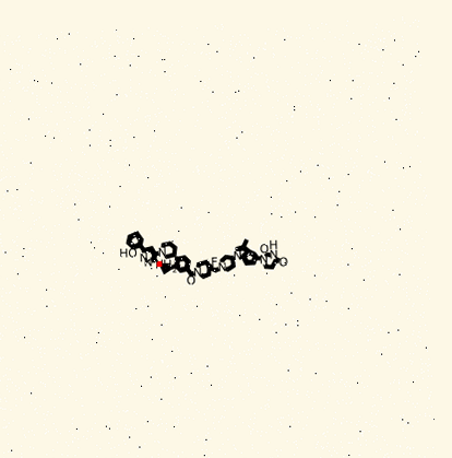 Cc1cn(C2CCN(CC3(F)CCN(C(=O)c4ccc([C@H]5CCCN(c6cc(-c7ccccc7O)nnc6N)C5)c(C5CC5)c4)CC3)CC2)c2ccc(N3CCC(=O)NC3=O)cc12